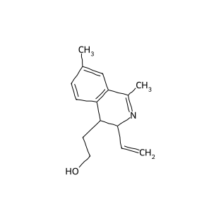 C=CC1N=C(C)c2cc(C)ccc2C1CCO